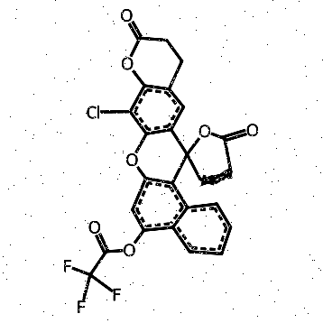 O=C1CCc2cc3c(c(Cl)c2O1)Oc1cc(OC(=O)C(F)(F)F)c2ccccc2c1C31OC(=O)c2ccccc21